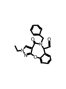 CCn1cc2c(n1)Oc1ccccc1C(C=O)N(Cc1ccccc1)C2=O